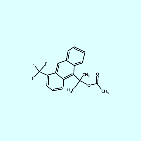 CC(=O)OC(C)(C)c1c2ccccc2cc2c(C(F)(F)F)cccc12